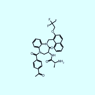 CC(=O)c1ccc(C(=O)N2C[C@H](NC(=O)[C@H](C)N)C(=O)N(Cc3c(OCC(F)(F)F)ccc4ccccc34)c3ccccc32)cc1